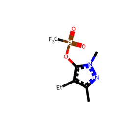 CCc1c(C)nn(C)c1OS(=O)(=O)C(F)(F)F